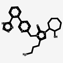 CCCCc1cn(C2CCCCCC2O)c(=O)n1Cc1ccc(-c2ccccc2-c2nnn[nH]2)cn1